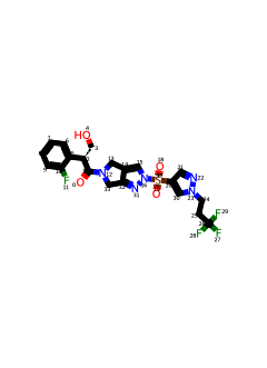 O=C([C@@H](CO)c1ccccc1F)N1Cc2cn(S(=O)(=O)c3cnn(CCC(F)(F)F)c3)nc2C1